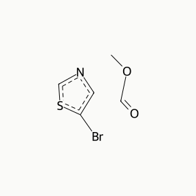 Brc1cncs1.COC=O